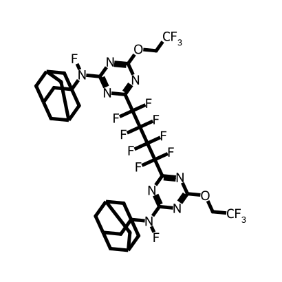 FN(c1nc(OCC(F)(F)F)nc(C(F)(F)C(F)(F)C(F)(F)C(F)(F)c2nc(OCC(F)(F)F)nc(N(F)C34CC5CC(CC(C5)C3)C4)n2)n1)C12CC3CC(CC(C3)C1)C2